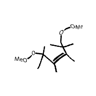 COOC(C)(C)/C(C)=C(/C)C(C)(C)OOC